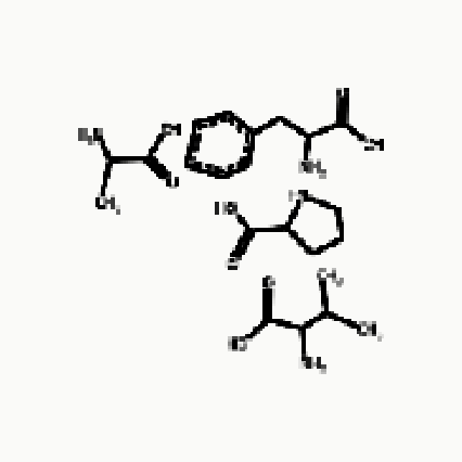 CC(C)C(N)C(=O)O.CC(N)C(=O)O.NC(Cc1ccccc1)C(=O)O.O=C(O)C1CCCN1